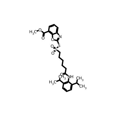 COC(=O)c1cccc2nc(SS(=O)(=O)CCCCCC(=O)Nc3c(C(C)C)cccc3C(C)C)oc12